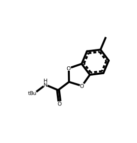 Cc1ccc2c(c1)OC(C(=O)NC(C)(C)C)O2